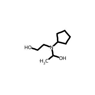 [CH2]C(O)N(CCO)C1CCCC1